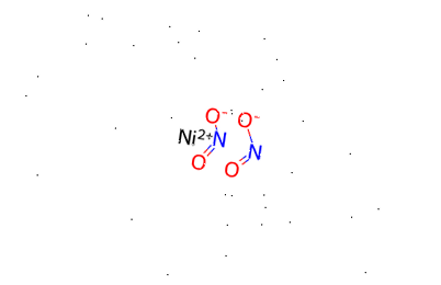 O=N[O-].O=N[O-].[Ni+2]